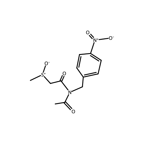 CC(=O)N(Cc1ccc([N+](=O)[O-])cc1)C(=O)C[S+](C)[O-]